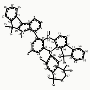 Cc1cc(-c2cccc3c4c([nH]c23)C(C)(C)c2ccccc2-4)c2c(c1)N(c1cc3c(cc1C)C(C)(C)CCC3(C)C)c1c(ccc3c1C(C)(C)c1ccccc1-3)B2